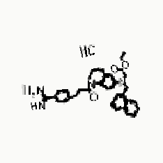 CCOC(=O)CN(Cc1cccc2ccccc12)c1ccc2c(c1)CCCN2C(=O)CCc1ccc(C(=N)N)cc1.Cl